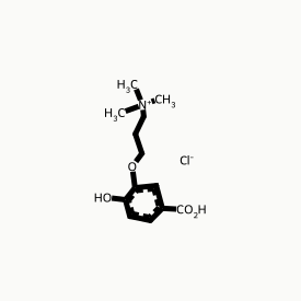 C[N+](C)(C)CCCOc1cc(C(=O)O)ccc1O.[Cl-]